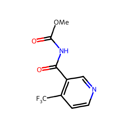 COC(=O)NC(=O)c1cnccc1C(F)(F)F